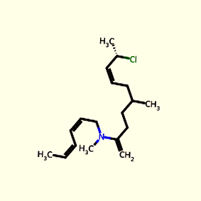 C=C(CCC(C)C/C=C\[C@H](C)Cl)N(C)C/C=C\C=C/C